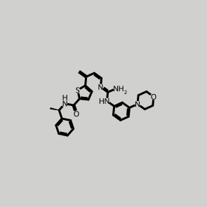 C=C(/C=C\N=C(/N)Nc1cccc(N2CCOCC2)c1)c1ccc(C(=O)N[C@H](C)c2ccccc2)s1